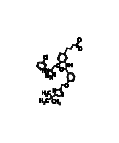 CC(C)(C)c1csc(COc2cccc(C(=O)Nc3cc(CCC=S(=O)=O)ccc3OCc3nnn[nH]3)c2)n1.Clc1ccccc1